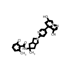 Cc1cccc(Cl)c1C(=O)NC1(C)CC2CN(c3ccc(-c4cc(O)cn5ncc(C#N)c45)cn3)CC2C1